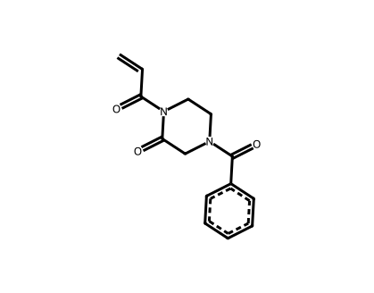 C=CC(=O)N1CCN(C(=O)c2ccccc2)CC1=O